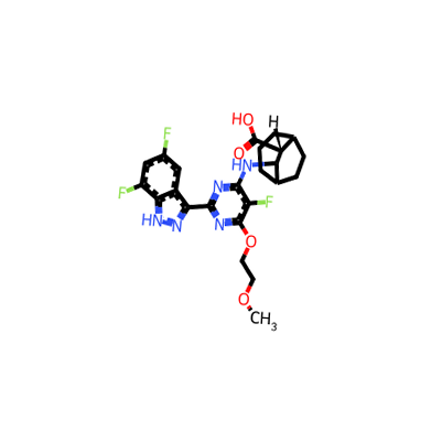 COCCOc1nc(-c2n[nH]c3c(F)cc(F)cc23)nc(NC2C3CCCC(CC3)[C@H]2C(=O)O)c1F